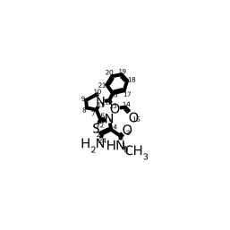 CNC(=O)c1nc(C2CCCN2C(OC=O)c2ccccc2)sc1N